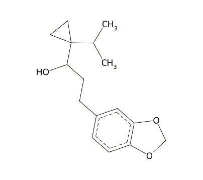 CC(C)C1(C(O)CCc2ccc3c(c2)OCO3)CC1